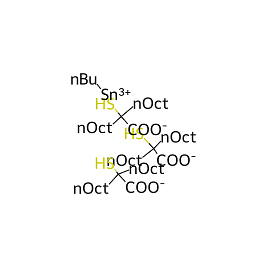 CCCCCCCCC(S)(CCCCCCCC)C(=O)[O-].CCCCCCCCC(S)(CCCCCCCC)C(=O)[O-].CCCCCCCCC(S)(CCCCCCCC)C(=O)[O-].CCC[CH2][Sn+3]